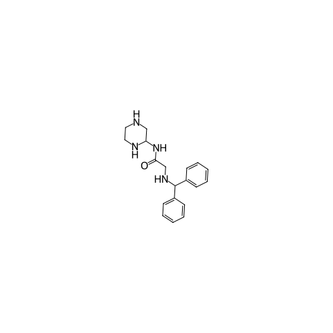 O=C(CNC(c1ccccc1)c1ccccc1)NC1CNCCN1